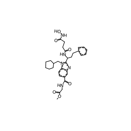 COC(=O)CNC(=O)c1ccc2c(c1)nc(C(CCc1ccccc1)NC(=O)CCC(=O)NO)n2CC1CCCCC1